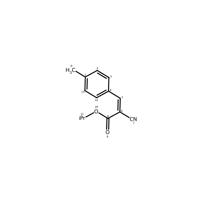 Cc1ccc(C=C(C#N)C(=O)OC(C)C)cc1